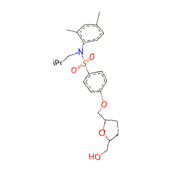 Cc1ccc(N(CC(C)C)S(=O)(=O)c2ccc(OCC3CCC(CO)O3)cc2)c(C)c1